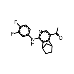 CC(=O)c1cnc(Nc2ccc(F)c(F)c2)c2c1C1CCC2C1